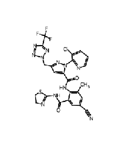 Cc1cc(C#N)cc(C(=O)NC2=NCCS2)c1NC(=O)c1cc(Cn2nnc(C(F)(F)F)n2)nn1-c1ncccc1Cl